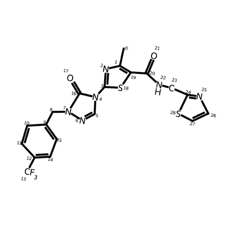 Cc1nc(-n2cnn(Cc3ccc(C(F)(F)F)cc3)c2=O)sc1C(=O)NCc1nccs1